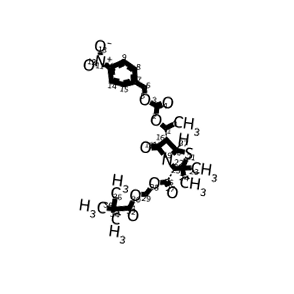 CC(OC(=O)OCc1ccc([N+](=O)[O-])cc1)[C@H]1C(=O)N2[C@@H]1SC(C)(C)[C@@H]2C(=O)OCOC(=O)C(C)(C)C